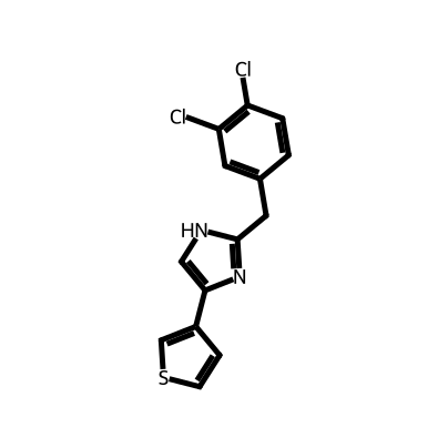 Clc1ccc(Cc2nc(-c3ccsc3)c[nH]2)cc1Cl